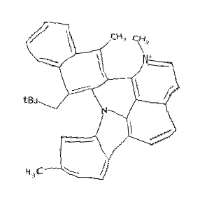 Cc1ccc2c3ccc4cc[n+](C)c5c6c(C)c7ccccc7c(CC(C)(C)C)c6n(c2c1)c3c45